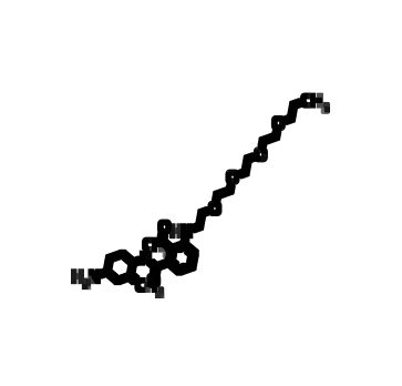 C=C1CC(N)CCC1N(C)C(=O)c1cccc(NCCOCCOCCOCCOCCC)c1C=O